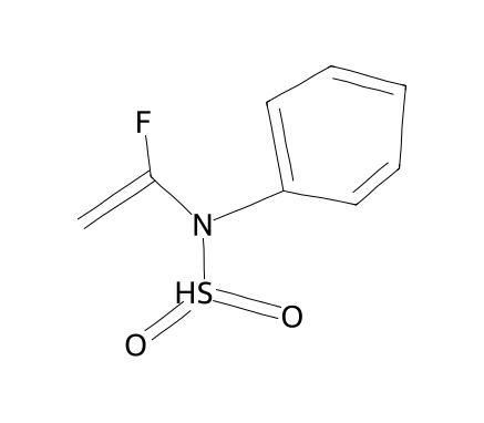 C=C(F)N(c1ccccc1)[SH](=O)=O